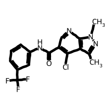 Cc1nn(C)c2ncc(C(=O)Nc3cccc(C(F)(F)F)c3)c(Cl)c12